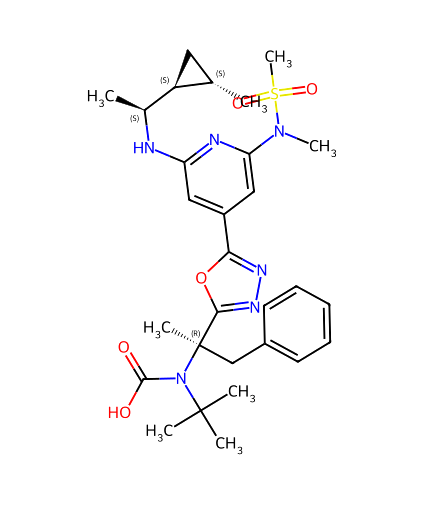 C[C@H](Nc1cc(-c2nnc([C@@](C)(Cc3ccccc3)N(C(=O)O)C(C)(C)C)o2)cc(N(C)S(C)(=O)=O)n1)[C@H]1C[C@@H]1C